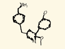 COc1ncc(Cc2ccc(CN)cc2)cc1-c1cccc(Cl)c1